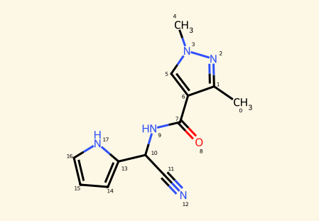 Cc1nn(C)cc1C(=O)NC(C#N)c1ccc[nH]1